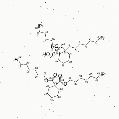 CC(C)CCCCCCC1(C(=O)O)CCCCC1(CCCCCCC(C)C)C(=O)O.CC(C)CCCCCCOC(=O)C1(C(=O)OCCCCCCC(C)C)CCCCC1